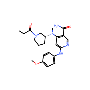 CCC(=O)N1CCC[C@@H](N(C)c2cc(Nc3ccc(OC)cc3)ncc2C(N)=O)C1